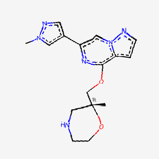 Cn1cc(-c2cn3nccc3c(OC[C@@]3(C)CNCCO3)n2)cn1